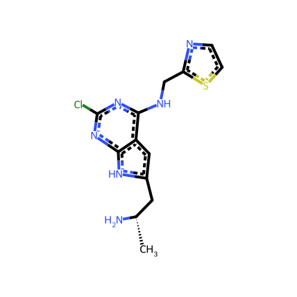 C[C@H](N)Cc1cc2c(NCc3nccs3)nc(Cl)nc2[nH]1